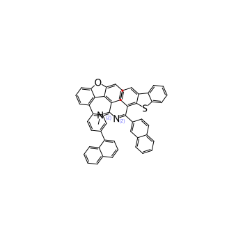 C/N=C(\N=C(\c1ccc2ccccc2c1)c1cccc2c1sc1ccccc12)c1cccc2oc3cccc(-c4ccc(-c5cccc6ccccc56)cc4)c3c12